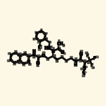 CC(=O)N(NCc1ccccc1Cl)[C@@H](CCCCNC(=O)C(=[N+]=[N-])C(F)(F)F)COC(=O)Nc1cc2ccccc2cn1